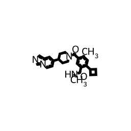 CNC(=O)c1cc(C(=O)N2CCC(c3ccn4cncc4c3)CC2)c(C)cc1C1CCC1